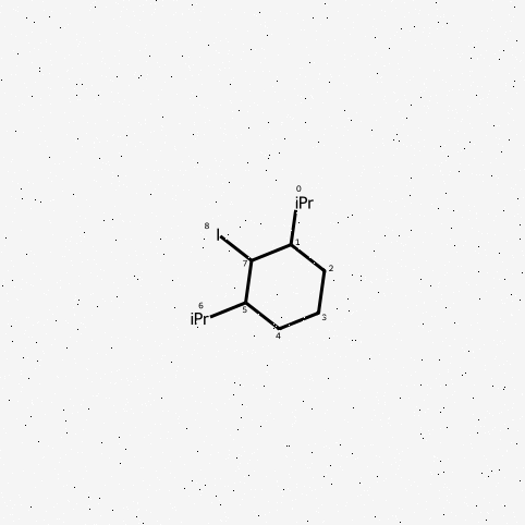 CC(C)C1CCCC(C(C)C)C1I